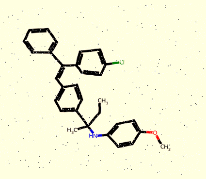 CCC(C)(Nc1ccc(OC)cc1)c1ccc(C=C(c2ccccc2)c2ccc(Cl)cc2)cc1